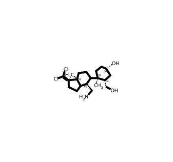 C[C@]12CCC([C@@]3(C)CC[C@H](O)C[C@@H]3CO)[C@@H](CN)C1CCC2=C(Cl)Cl